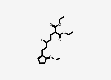 CCOC(=O)C(CCC(F)CCC1=CCCC1=NOC)C(=O)OCC